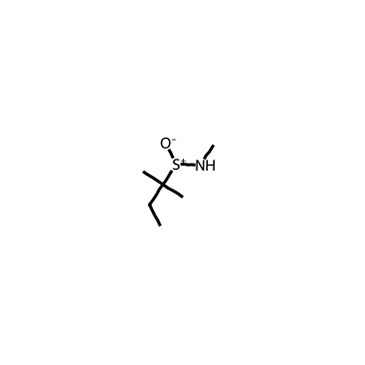 CCC(C)(C)[S+]([O-])NC